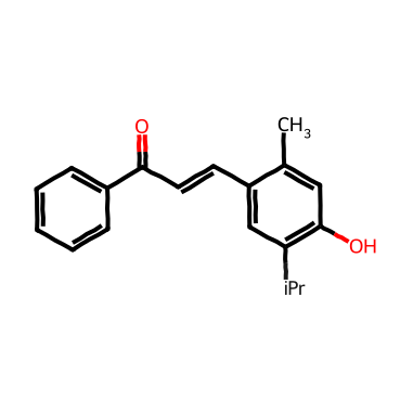 Cc1cc(O)c(C(C)C)cc1C=CC(=O)c1ccccc1